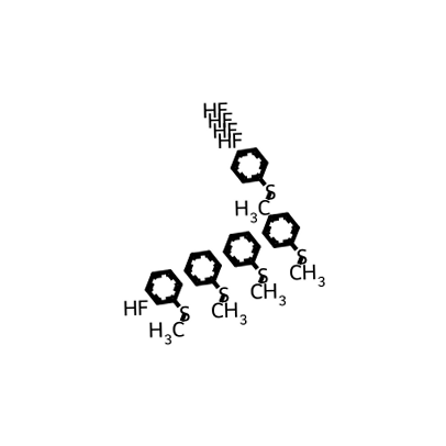 CSc1ccccc1.CSc1ccccc1.CSc1ccccc1.CSc1ccccc1.CSc1ccccc1.F.F.F.F.F